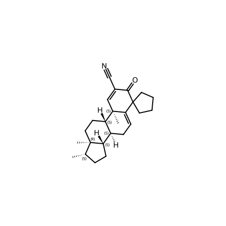 C[C@H]1CC[C@H]2[C@@H]3CC=C4C5(CCCC5)C(=O)C(C#N)=C[C@]4(C)[C@H]3CC[C@]12C